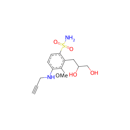 C#CCNc1ccc(S(N)(=O)=O)c(CC(O)CO)c1OC